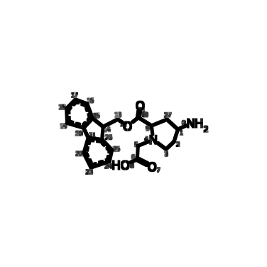 NC1CCN(CC(=O)O)C(C(=O)OCC2c3ccccc3-c3ccccc32)C1